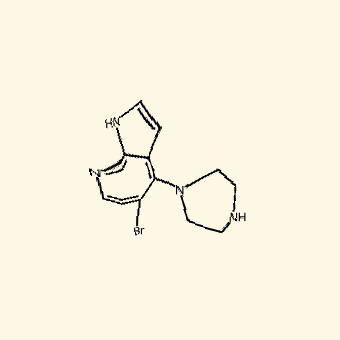 Brc1cnc2[nH]ccc2c1N1CCNCC1